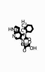 CC1(C)CCCCC1n1c(=O)[nH]c2cnc3[nH]ccc3c21.O=C(O)C(=O)O